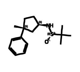 CC(C)(C)[S@+]([O-])N[C@@H]1CC[C@@](C)(c2ccccc2)C1